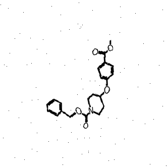 COC(=O)c1ccc(OC2CCN(C(=O)OCc3ccccc3)CC2)cc1